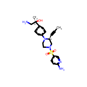 CC#C[C@H]1CN(S(=O)(=O)c2ccc(N)nc2)CCN1c1ccc([C@](O)(CN)C(F)(F)F)cc1